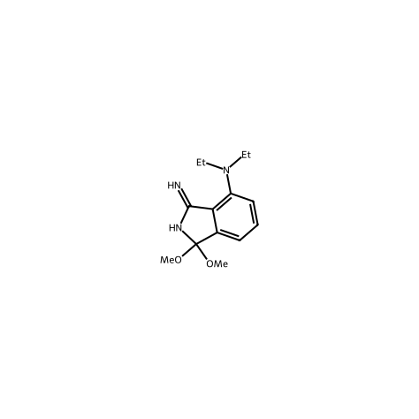 CCN(CC)c1cccc2c1C(=N)NC2(OC)OC